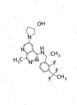 Cc1nnc(N[C@H](C)c2cccc(C(C)(F)F)c2F)c2cc(N3CC[C@H](O)C3)cnc12